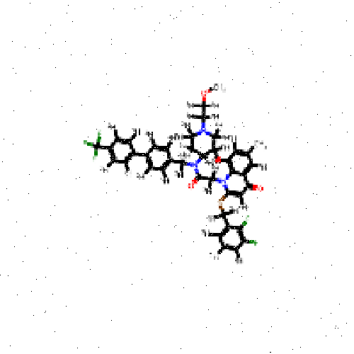 [2H]c1c([2H])c(F)c(F)c(C([2H])([2H])Sc2c([2H])c(=O)c3c([2H])c(C)c([2H])c([2H])c3n2C([2H])([2H])C(=O)N(C([2H])([2H])c2c([2H])c([2H])c(-c3c([2H])c([2H])c(C(F)(F)F)c([2H])c3[2H])c([2H])c2[2H])C2([2H])C([2H])([2H])C([2H])([2H])N(C([2H])([2H])C([2H])([2H])OC)C([2H])([2H])C2([2H])[2H])c1[2H]